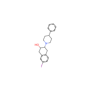 OC1Cc2cc(I)ccc2CC1N1CCC(c2ccccc2)CC1